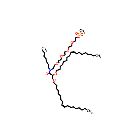 CCCCCCCC/C=C\CCCCCCCCOCC(OCCCCCCCC/C=C\CCCCCCCC)C(=O)N(CCCCCCCC)CCOCCOCCOCCOCCOS(C)(=O)=O